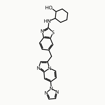 OC1CCCCC1Nc1nc2ccc(Cc3cnc4cc(-n5nccn5)ccn34)cc2s1